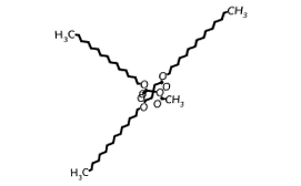 CCCCCCCCCCCCCCCOC(=O)CC(CC(=O)OCCCCCCCCCCCCCCC)(OC(C)=O)C(=O)OCCCCCCCCCCCCCCC